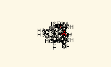 C/C(O)=C(O)\C(O)=C/C(c1c(C(=O)O[C@H]2Cc3cc(O)cc(O)c3O[C@H]2OC(=O)c2cc(O)c(O)c(O)c2)cc(O)c(O)c1O)[C@H]1Oc2cc(O)cc(O)c2C[C@H]1OC(=O)c1cc(O)c(O)c(O)c1